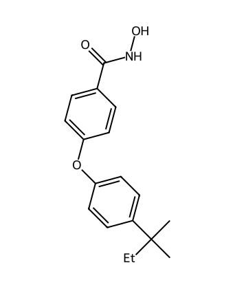 CCC(C)(C)c1ccc(Oc2ccc(C(=O)NO)cc2)cc1